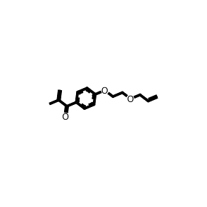 C=CCOCCOc1ccc(C(=O)C(=C)C)cc1